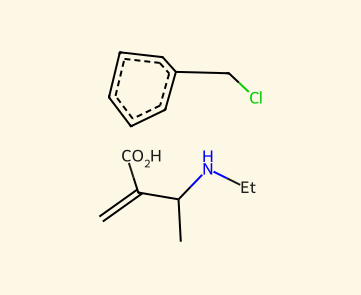 C=C(C(=O)O)C(C)NCC.ClCc1ccccc1